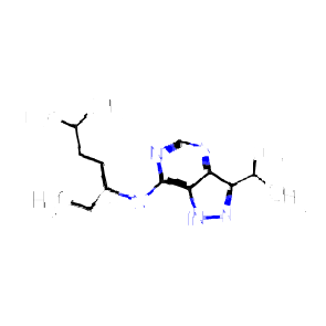 CC[C@@H](CCC(C)C)Nc1ncnc2c(C(C)C)n[nH]c12